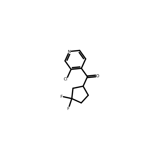 O=C(c1ccncc1Cl)C1CCC(F)(F)C1